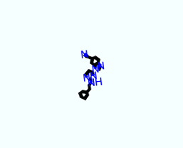 N#Cc1ccc2ncn(-c3ccnc(NCCc4ccccc4)n3)c2c1